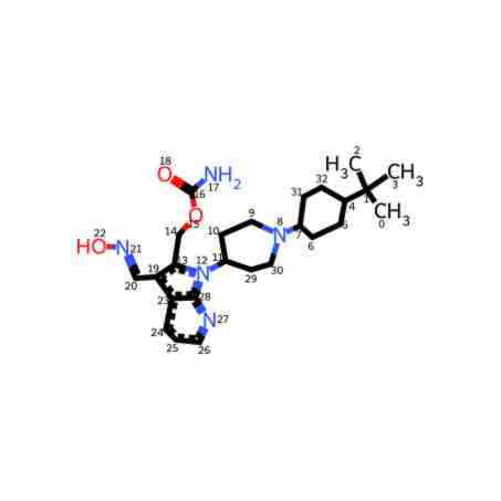 CC(C)(C)C1CCC(N2CCC(n3c(COC(N)=O)c(C=NO)c4cccnc43)CC2)CC1